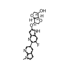 Cn1ccc2cc(-c3nc4cc(O[C@@H]5CO[C@H]6[C@@H]5OC[C@H]6O)[nH]c4cc3F)cnc21